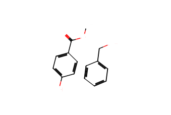 COC(=O)c1ccc(O)cc1.OCc1ccccc1